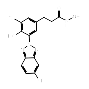 CC(C)(C)c1cc(CCC(=O)NN)cc(-n2nc3ccc(Cl)cc3n2)c1O